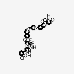 O=C1CC[C@H](N2Cc3ccc(N4CCC(CN5CCc6cc(O[C@H]7CN8c9cc(-c%10cccc(Cl)c%10O)nnc9NC[C@@]8(C(F)F)C7)ccc6C5)CC4)cc3C2=O)C(=O)N1